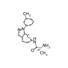 Cc1cccc(-n2ncc3ccc(NC(=O)[C@@H](C)N)cc32)c1